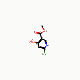 COC(=O)c1cnc(Br)cc1O